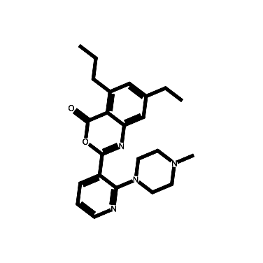 CCCc1cc(CC)cc2nc(-c3cccnc3N3CCN(C)CC3)oc(=O)c12